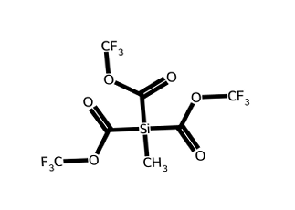 C[Si](C(=O)OC(F)(F)F)(C(=O)OC(F)(F)F)C(=O)OC(F)(F)F